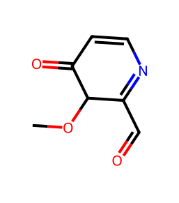 COC1C(=O)C=CN=C1C=O